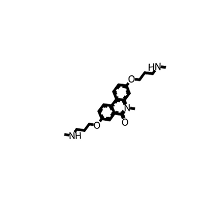 CNCCCOc1ccc2c(c1)c(=O)n(C)c1cc(OCCCNC)ccc21